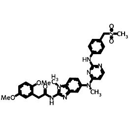 COc1ccc(OC)c(CC(=O)Nc2nc3cc(N(C)c4ccnc(Nc5ccc(CS(C)(=O)=O)cc5)n4)ccc3n2C)c1